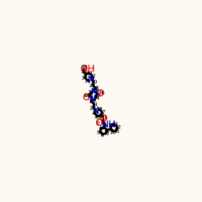 O=C(Nc1ccccc1-c1ccccc1)OC1CCN(CCCN2CC(=O)N(CCCN3CCC(CO)CC3)CC2=O)CC1